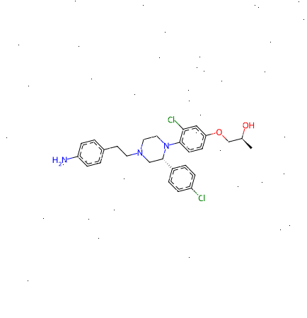 C[C@H](O)COc1ccc(N2CCN(CCc3ccc(N)cc3)C[C@H]2c2ccc(Cl)cc2)c(Cl)c1